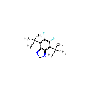 CC(C)(C)c1c(F)c(F)c(C(C)(C)C)c2c1=NCN=2